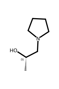 C[C@H](O)CN1CCCC1